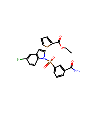 CCOC(=O)c1cccs1.NC(=O)c1cccc(S(=O)(=O)n2ccc3cc(Br)ccc32)c1